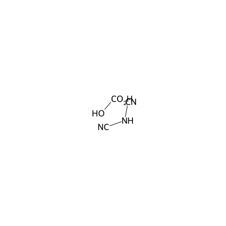 N#CNC#N.O=C(O)O